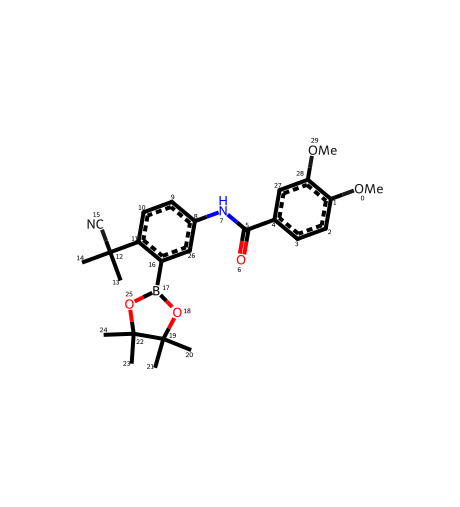 COc1ccc(C(=O)Nc2ccc(C(C)(C)C#N)c(B3OC(C)(C)C(C)(C)O3)c2)cc1OC